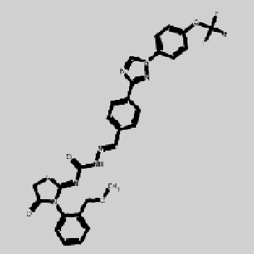 COCc1ccccc1N1C(=O)CS/C1=N\C(=O)N/N=C/c1ccc(-c2ncn(-c3ccc(OC(F)(F)F)cc3)n2)cc1